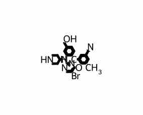 Cc1cc(C#N)cc(C)c1Oc1nc(N(c2cccc(CO)c2)C2CCNCC2)ncc1Br